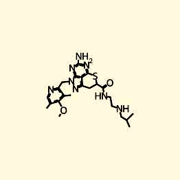 COc1c(C)cnc(Cn2nc3c4c(nc(N)nc42)SC(C(=O)NCCNCC(C)C)C3)c1C